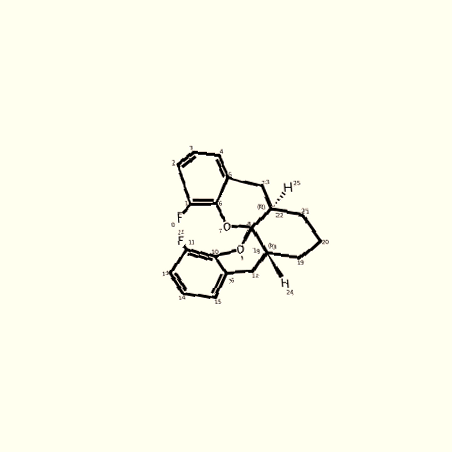 Fc1cccc2c1OC13Oc4c(F)cccc4C[C@H]1CCC[C@@H]3C2